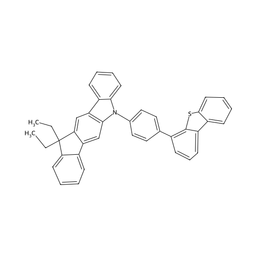 CCC1(CC)c2ccccc2-c2cc3c(cc21)c1ccccc1n3-c1ccc(-c2cccc3c2sc2ccccc23)cc1